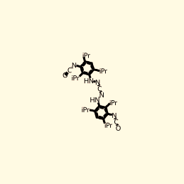 CC(C)c1cc(C(C)C)c(NN=C=NNc2c(C(C)C)cc(C(C)C)c(N=C=O)c2C(C)C)c(C(C)C)c1N=C=O